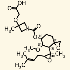 CO[C@@H]1[C@H](OC(=O)N2CC(C)(OCC(=O)O)C2)CC[C@]2(CO2)[C@H]1[C@@]1(C)OC1CC=C(C)C